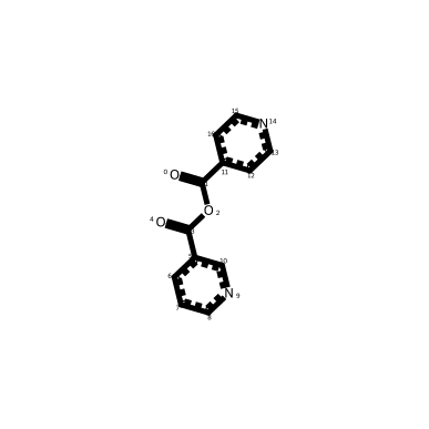 O=C(OC(=O)c1cccnc1)c1ccncc1